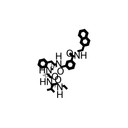 CCNC(=O)[C@@H](NC(=O)[C@H](C)NC[C@H](Cc1ccccc1)NC(=O)c1cccc(C(=O)NCCc2ccc3ccccc3c2)c1)C(C)C